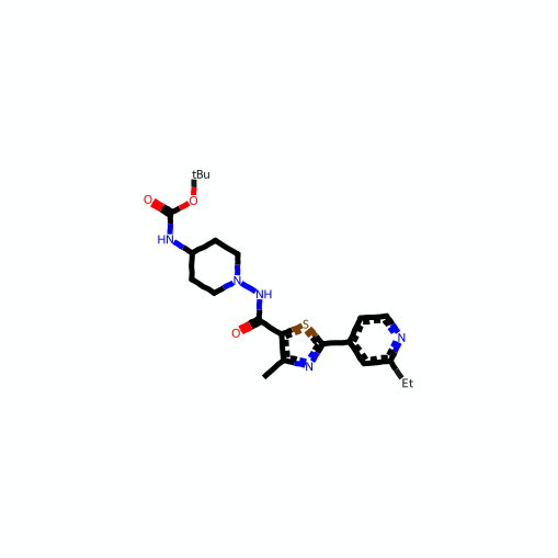 CCc1cc(-c2nc(C)c(C(=O)NN3CCC(NC(=O)OC(C)(C)C)CC3)s2)ccn1